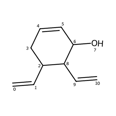 C=CC1CC=CC(O)C1C=C